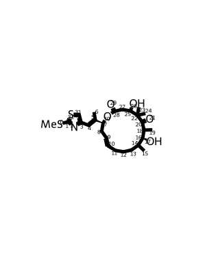 CSc1nc(/C=C(\C)[C@@H]2C/C=C/CCCC(C)[C@H](O)C(C)C(=O)C(C)(C)C(O)CC(=O)O2)cs1